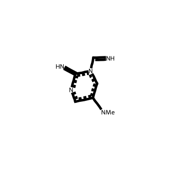 CNc1cnc(=N)n(C=N)c1